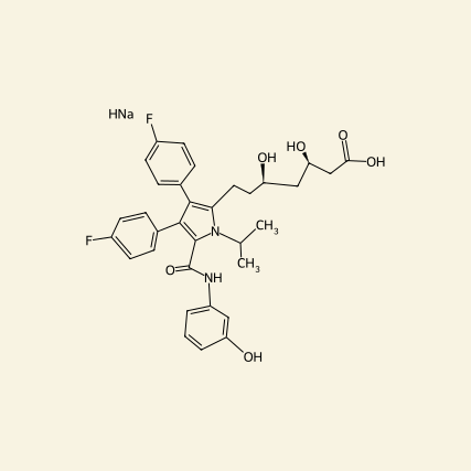 CC(C)n1c(CC[C@@H](O)C[C@@H](O)CC(=O)O)c(-c2ccc(F)cc2)c(-c2ccc(F)cc2)c1C(=O)Nc1cccc(O)c1.[NaH]